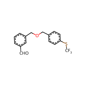 O=Cc1cccc(COCc2ccc(SC(F)(F)F)cc2)c1